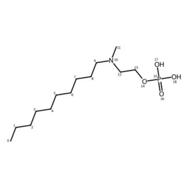 CCCCCCCCCCN(C)CCOP(=O)(O)O